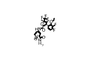 CCOc1c([C@@H]2[C@H](C(=O)Nc3cc[n+]([O-])c(C(N)=O)c3)O[C@](C)(C(F)(F)F)[C@H]2C)ccc(F)c1F